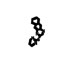 c1cnc(Sc2cnc3cc4ccccc4cc3n2)nc1